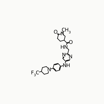 CN1CC(C(=O)NCc2ncc(Nc3ccc(N4CCC(C(F)(F)F)CC4)cc3)cn2)CCC1=O